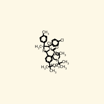 CCOc1cc(C(C)(C)C)ccc1C1=N[C@@](C)(c2ccc(C)cc2)[C@@](C)(c2ccc(Cl)cc2)N1C(=O)N1CCN(C(C)(C)C)CC1